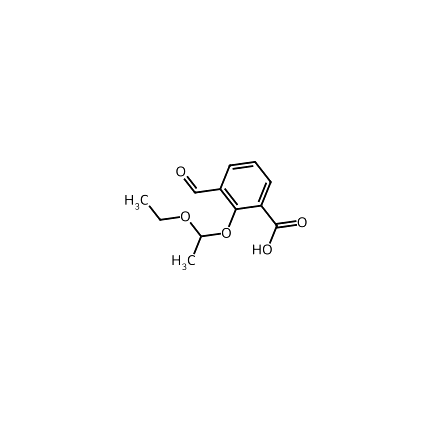 CCOC(C)Oc1c(C=O)cccc1C(=O)O